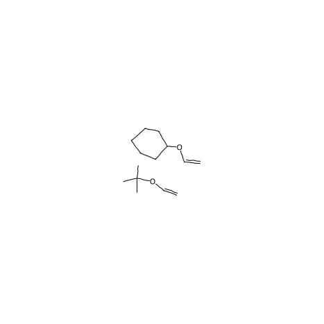 C=COC(C)(C)C.C=COC1CCCCC1